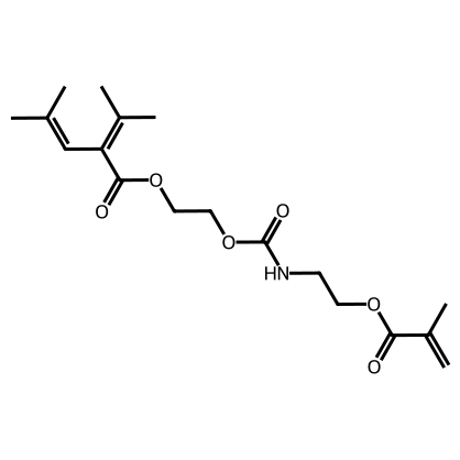 C=C(C)C(=O)OCCNC(=O)OCCOC(=O)C(C=C(C)C)=C(C)C